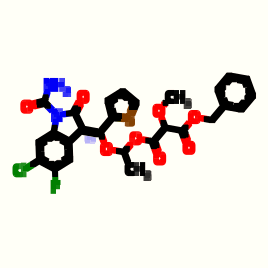 COC(C(=O)OCc1ccccc1)C(=O)OC(C)O/C(=C1/C(=O)N(C(N)=O)c2cc(Cl)c(F)cc21)c1cccs1